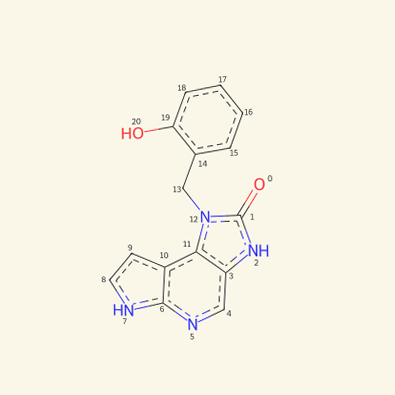 O=c1[nH]c2cnc3[nH]ccc3c2n1Cc1ccccc1O